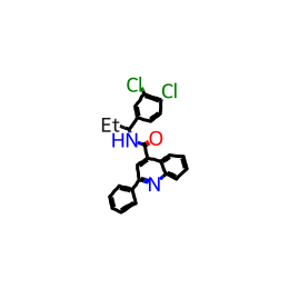 CCC(NC(=O)c1cc(-c2ccccc2)nc2ccccc12)c1ccc(Cl)c(Cl)c1